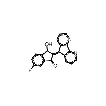 O=C1C(=C2c3cccnc3-c3ncccc32)C(O)c2ccc(F)cc21